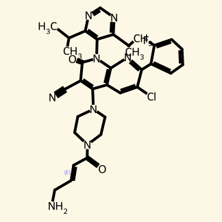 CC(C)c1ncnc(C(C)C)c1-n1c(=O)c(C#N)c(N2CCN(C(=O)/C=C/CN)CC2)c2cc(Cl)c(-c3ccccc3F)nc21